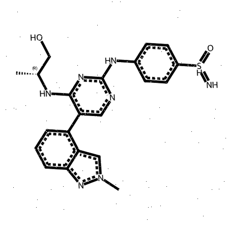 C[C@H](CO)Nc1nc(Nc2ccc([SH](=N)=O)cc2)ncc1-c1cccc2nn(C)cc12